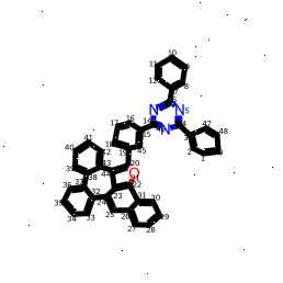 c1ccc(-c2nc(-c3ccccc3)nc(-c3cccc(-c4oc5c6c(cc7ccccc75)-c5ccccc5-c5ccccc5-c46)c3)n2)cc1